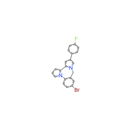 Fc1ccc(-c2cc3n(c2)Cc2cc(Br)ccc2-n2cccc2-3)cc1